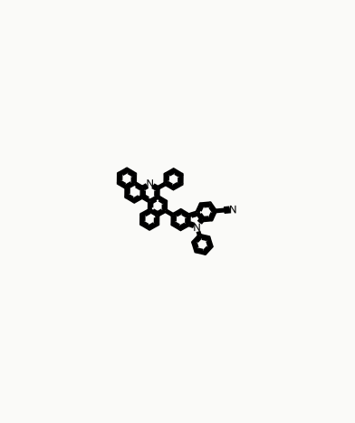 N#Cc1ccc2c3cc(-c4cc5c(-c6ccccc6)nc6c7ccccc7ccc6c5c5ccccc45)ccc3n(-c3ccccc3)c2c1